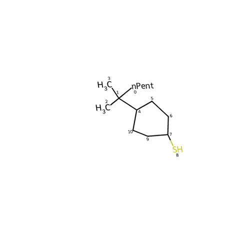 CCCCCC(C)(C)C1CCC(S)CC1